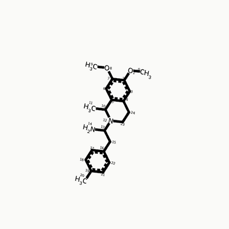 COc1cc2c(cc1OC)C(C)N(C(N)Cc1ccc(C)cc1)CC2